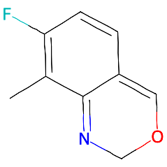 Cc1c(F)ccc2c1=NCOC=2